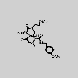 CCCC[C@H]1C(=O)N(CCOC)C[C@H]2N1C(=O)CN(C)N2C(=O)NCc1ccc(OC)cc1